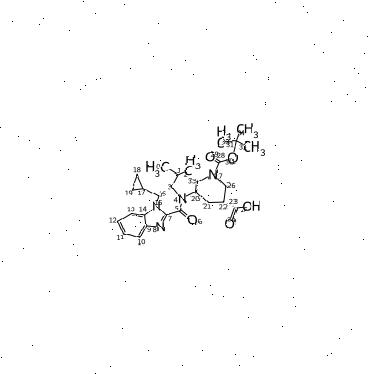 CC(C)CN(C(=O)c1nc2ccccc2n1CC1CC1)C1C[C@@H](C(=O)O)CN(C(=O)OC(C)(C)C)C1